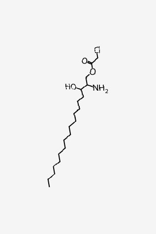 CCCCCCCCCCCCCCCC(O)C(N)COC(=O)CCl